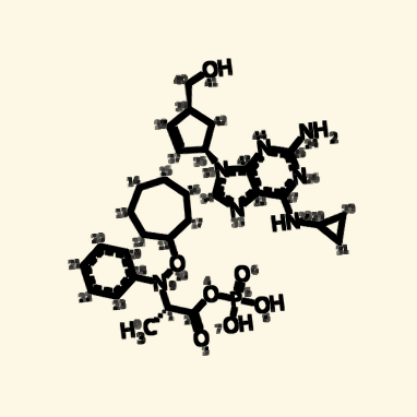 C[C@@H](C(=O)OP(=O)(O)O)N(OC1CCCCCC1)c1ccccc1.Nc1nc(NC2CC2)c2ncn([C@H]3C=C[C@@H](CO)C3)c2n1